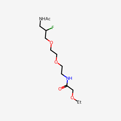 CCOCC(=O)NCCOCCOCC(F)CNC(C)=O